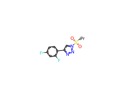 CC(C)S(=O)(=O)n1cc(-c2ccc(F)cc2F)nn1